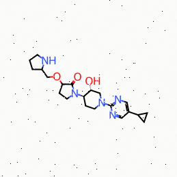 O=C1C(OCC2CCCN2)CCN1[C@@H]1CCN(c2ncc(C3CC3)cn2)C[C@H]1O